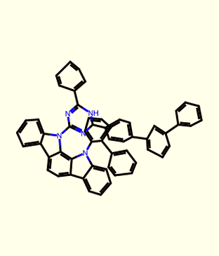 c1ccc(C2=NC(n3c4ccccc4c4ccc5c6ccccc6n(-c6ccccc6-c6ccccc6)c5c43)=NC(c3ccc(-c4cccc(-c5ccccc5)c4)cc3)N2)cc1